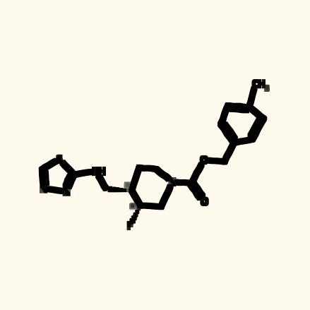 Cc1ccc(COC(=O)N2CC[C@@H](CNc3nncs3)[C@@H](F)C2)cc1